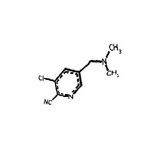 CN(C)Cc1cnc(C#N)c(Cl)c1